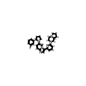 Fc1cccc([C@H]2CCCN2c2ccc3ncc(-c4cccc(N5CCN6CCCC6C5)n4)n3n2)c1